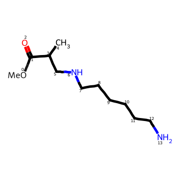 COC(=O)C(C)CNCCCCCCN